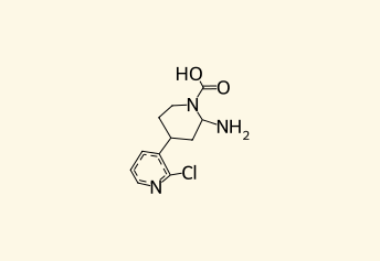 NC1CC(c2cccnc2Cl)CCN1C(=O)O